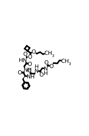 CCCCOC(=O)NCC(=O)NCC(=O)N[C@@H](Cc1ccccc1)C(=O)NCC(=O)NCOC1(C(=O)OCCCC)CCC1